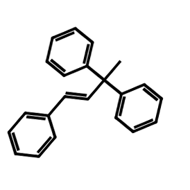 CC(C=Cc1ccccc1)(c1ccccc1)c1ccccc1